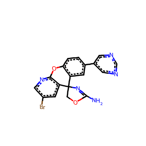 NC1=NC2(CO1)c1cc(-c3cncnc3)ccc1Oc1ncc(Br)cc12